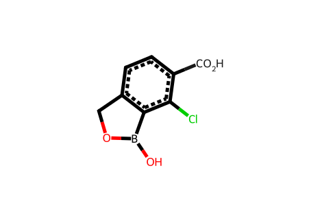 O=C(O)c1ccc2c(c1Cl)B(O)OC2